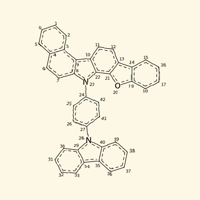 c1ccc2c(c1)ccc1c2c2ccc3c4ccccc4oc3c2n1-c1ccc(-n2c3ccccc3c3ccccc32)cc1